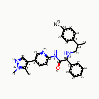 Cc1c(-c2ccc(NC(=O)C(NCC(C)c3ccc(C#N)cc3)c3ccccc3)nc2)cnn1C